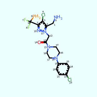 NCc1c(Cl)c(C(F)(F)P)nn1CC(=O)N1CCN(c2ccc(Cl)cc2)CC1